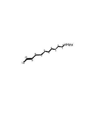 CCCCCCCCCCCCCCC=CI